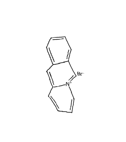 [Br-].c1ccc2c[n+]3ccccc3cc2c1